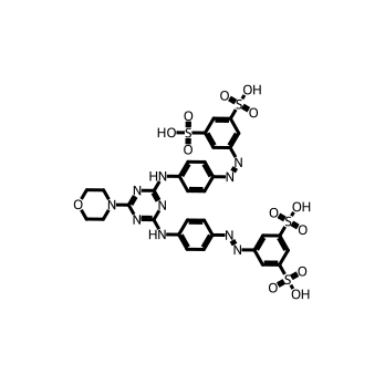 O=S(=O)(O)c1cc(N=Nc2ccc(Nc3nc(Nc4ccc(N=Nc5cc(S(=O)(=O)O)cc(S(=O)(=O)O)c5)cc4)nc(N4CCOCC4)n3)cc2)cc(S(=O)(=O)O)c1